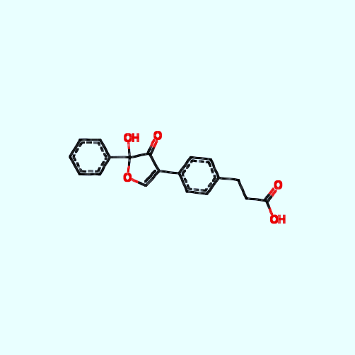 O=C(O)CCc1ccc(C2=COC(O)(c3ccccc3)C2=O)cc1